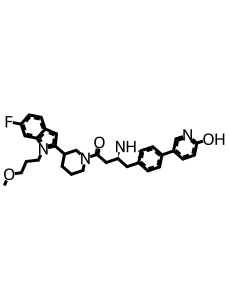 COCCCn1c(C2CCCN(C(=O)C[C@H](N)Cc3ccc(-c4ccc(O)nc4)cc3)C2)cc2ccc(F)cc21